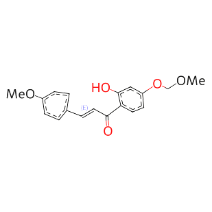 COCOc1ccc(C(=O)/C=C/c2ccc(OC)cc2)c(O)c1